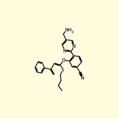 C=C(/C=C(/Oc1cc(C#N)ccc1-c1ncc(CN)cn1)SCCCC)c1ccccc1